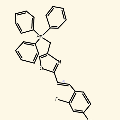 Cc1ccc(/C=C/c2nc(C[PH](c3ccccc3)(c3ccccc3)c3ccccc3)co2)c(F)c1